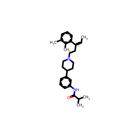 C/C=C(/CCN1CCC(c2cccc(NC(=O)C(C)C)c2)CC1)c1cccc(C)c1C